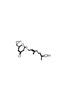 C/C(O)=C\CC/C(C)=C/COC1CC(=O)C[C@@H](CO)O1